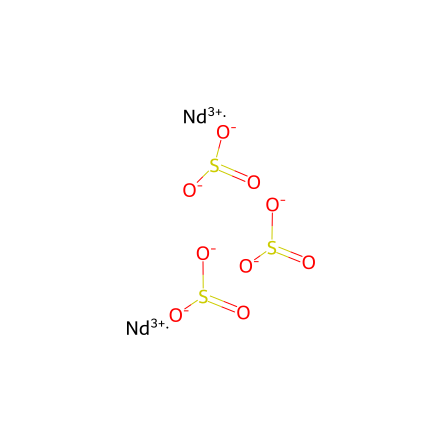 O=S([O-])[O-].O=S([O-])[O-].O=S([O-])[O-].[Nd+3].[Nd+3]